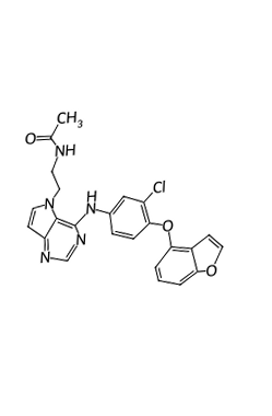 CC(=O)NCCn1ccc2ncnc(Nc3ccc(Oc4cccc5occc45)c(Cl)c3)c21